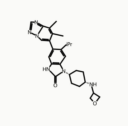 Cc1c(-c2cc3[nH]c(=O)n([C@H]4CC[C@@H](NC5COC5)CC4)c3cc2C(C)C)cn2ncnc2c1C